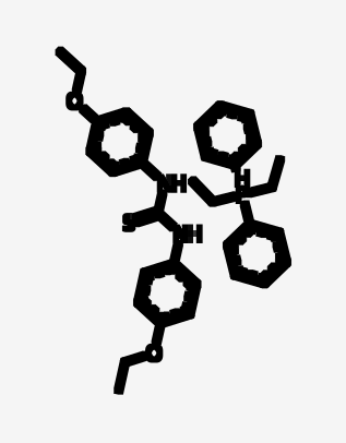 CCOc1ccc(NC(=S)Nc2ccc(OCC)cc2)cc1.CC[PH](CC)(c1ccccc1)c1ccccc1